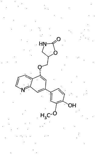 COc1cc(-c2cc(OCC3CNC(=O)O3)c3cccnc3c2)ccc1O